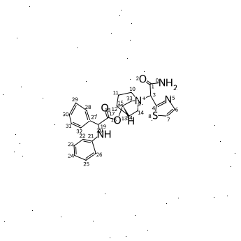 NC(=O)C(c1nccs1)[N+]12CCC(CC1)[C@@H](OC(=O)C(Nc1ccccc1)c1ccccc1)C2